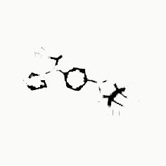 CC1(C)OB(c2ccc(N(C(=O)O)n3ccnc3)cc2)OC1(C)C